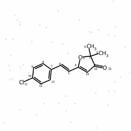 CC1(C)OC(C=Cc2ccc(Cl)cc2)=CC1=O